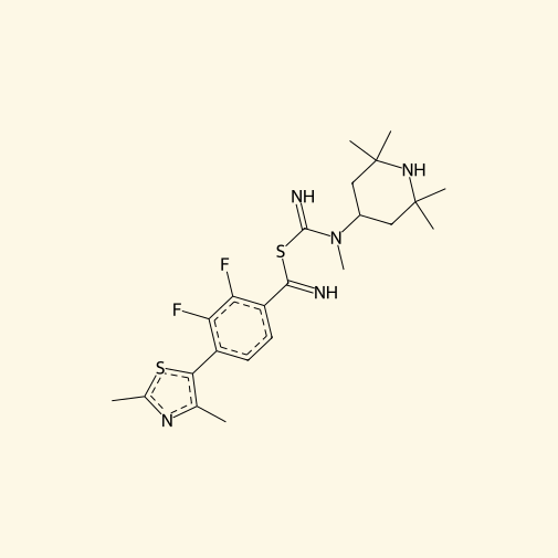 Cc1nc(C)c(-c2ccc(C(=N)SC(=N)N(C)C3CC(C)(C)NC(C)(C)C3)c(F)c2F)s1